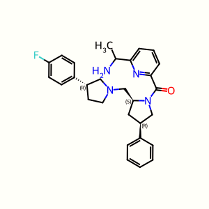 CC(N)c1cccc(C(=O)N2C[C@@H](c3ccccc3)C[C@H]2CN2CC[C@H](c3ccc(F)cc3)C2)n1